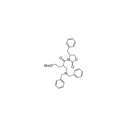 COCCC(CN(Cc1ccccc1)Cc1ccccc1)C(=O)N1C(=O)OCC1Cc1ccccc1